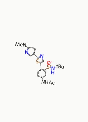 CNc1ccc(-c2ncc(-c3ccc(NC(C)=O)cc3[S+]([O-])NC(C)(C)C)s2)cn1